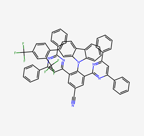 N#Cc1cc(-c2cc(-c3ccccc3)nc(-c3ccccc3)n2)c(-n2c3ccccc3c3ccc(-c4ccc(C(F)(F)F)cc4C(F)(F)F)cc32)c(-c2nc(-c3ccccc3)cc(-c3ccccc3)n2)c1